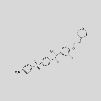 [CH2]c1cc(N(C)C(=O)c2ccc(S(=O)(=O)c3ccc([N+](=O)[O-])cc3)cc2)ccc1OCCN1CCOCC1